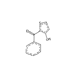 O=C(c1ccccc1)c1sccc1O